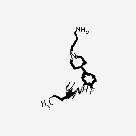 CCCC(=O)Nc1cc(C2CCN(CCCN)CC2)ccc1F